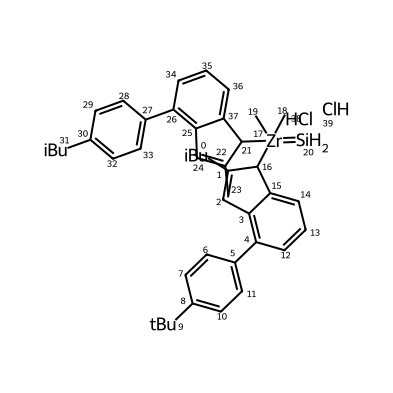 CCC(C)C1=Cc2c(-c3ccc(C(C)(C)C)cc3)cccc2[CH]1[Zr]([CH3])([CH3])(=[SiH2])[CH]1C(C)=Cc2c(-c3ccc(C(C)CC)cc3)cccc21.Cl.Cl